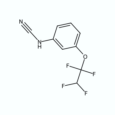 N#CNc1cccc(OC(F)(F)C(F)F)c1